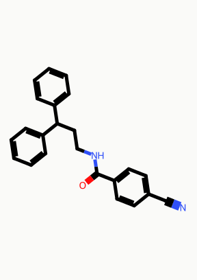 N#Cc1ccc(C(=O)NCCC(c2ccccc2)c2ccccc2)cc1